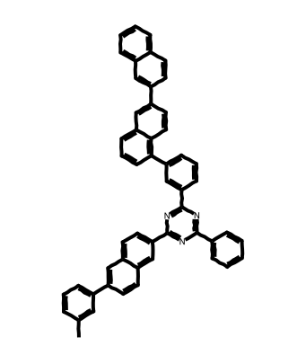 Cc1cccc(-c2ccc3cc(-c4nc(-c5ccccc5)nc(-c5cccc(-c6cccc7cc(-c8ccc9ccccc9c8)ccc67)c5)n4)ccc3c2)c1